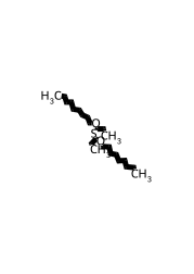 CCCCCCCCCOC(CC)SC(CC)OCCCCCCCCC